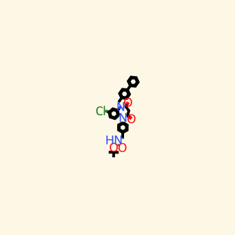 CC(C)(C)OC(=O)NCc1ccc(N2C(=O)CC(=O)N(Cc3ccc(-c4ccccc4)cc3)c3cc(Cl)ccc32)cc1